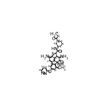 C=CC(=O)N1CCCC(NC(=O)C2Sc3c(N)ccc4c3C2C(N)C(=O)C4(N)c2ccc(Oc3cccnn3)cc2C)C1